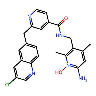 Cc1cc(N)[n+](O)c(C)c1CNC(=O)c1ccnc(Cc2ccc3ncc(Cl)cc3c2)c1